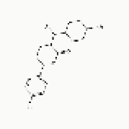 CCCC1CCC(C(C)C2CCC(c3ccc(CC)cc3)OC2=O)CC1